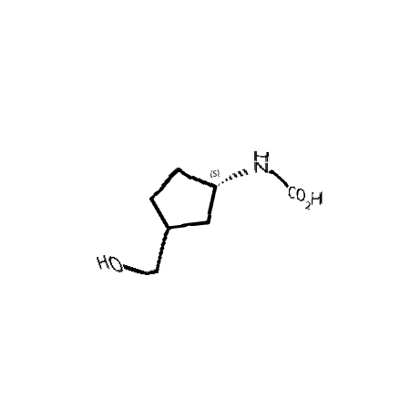 O=C(O)N[C@H]1CCC(CO)C1